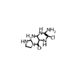 NC1=C(Cl)NC(C(=O)N2CCNC2)C(N)N1